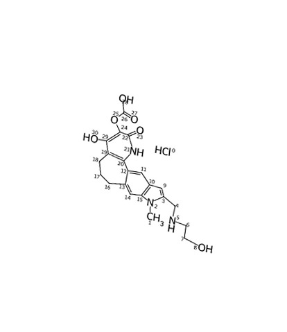 Cl.Cn1c(CNCCO)cc2cc3c(cc21)CCCc1c-3[nH]c(=O)c(OC(=O)O)c1O